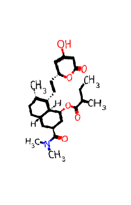 CCC(C)C(=O)O[C@H]1C[C@@H](C(=O)N(C)C)C[C@@H]2CC[C@H](C)[C@H](CC[C@@H]3C[C@@H](O)CC(=O)O3)[C@H]21